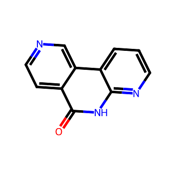 O=c1[nH]c2ncccc2c2cnccc12